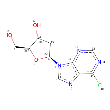 OC[C@@H]1O[C@H](n2cnc3c(Cl)ncnc32)C[C@H]1O